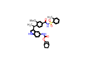 COc1cc(C(=O)NS(=O)(=O)c2ccccc2C)ccc1C(C)c1c[nH]c2ccc(NC(=O)OC3CC4CCC3C4)cc12